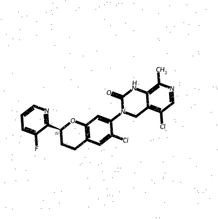 Cc1ncc(Cl)c2c1NC(=O)N(c1cc3c(cc1Cl)CC[C@@H](c1ncccc1F)O3)C2